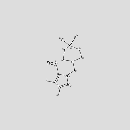 CCOC(=O)c1c(C)c(C)nn1CC1CCC(F)(F)CC1